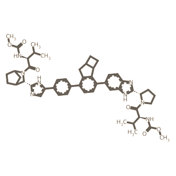 COC(=O)N[C@H](C(=O)N1CCC[C@H]1c1nc2ccc(-c3ccc(-c4ccc(-c5cnc([C@@H]6C7CCC(C7)N6C(=O)[C@@H](NC(=O)OC)C(C)C)[nH]5)cc4)c4c3C3CCC3C4)cc2[nH]1)C(C)C